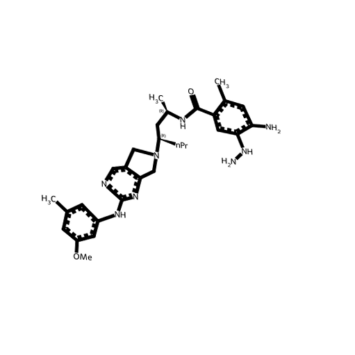 CCC[C@H](C[C@@H](C)NC(=O)c1cc(NN)c(N)cc1C)N1Cc2cnc(Nc3cc(C)cc(OC)c3)nc2C1